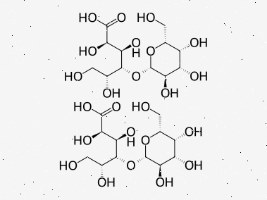 O=C(O)[C@H](O)[C@@H](O)[C@H](O[C@@H]1O[C@H](CO)[C@H](O)[C@H](O)[C@H]1O)[C@H](O)CO.O=C(O)[C@H](O)[C@@H](O)[C@H](O[C@@H]1O[C@H](CO)[C@H](O)[C@H](O)[C@H]1O)[C@H](O)CO